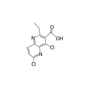 CCc1nc2ccc(Cl)nc2c(Cl)c1C(=O)O